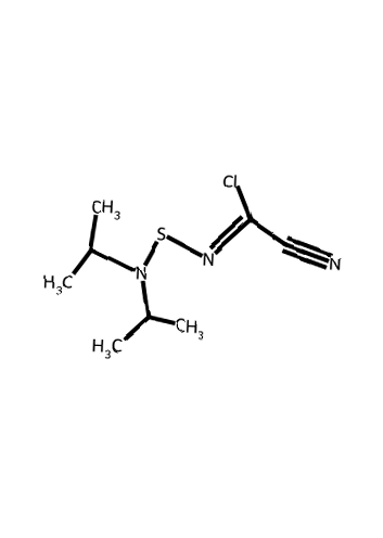 CC(C)N(SN=C(Cl)C#N)C(C)C